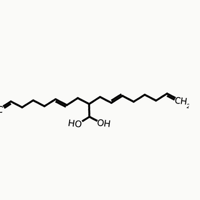 C=CCCCC=CCC(CC=CCCCC=C)C(O)O